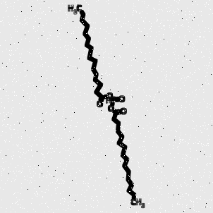 CCCCCCCCCCCCCCCC(=O)O[PH](=O)OC(=O)CCCCCCCCCCCCCCC